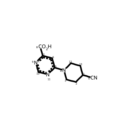 N#CC1CCN(c2cc(C(=O)O)ncn2)CC1